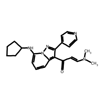 CN(C)/C=C/C(=O)c1c(-c2ccncc2)nn2c(NC3CCCC3)cccc12